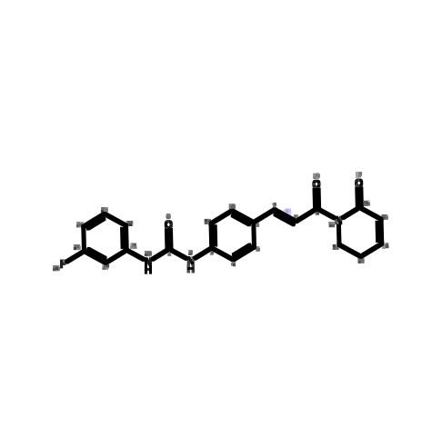 O=C(Nc1ccc(/C=C/C(=O)N2CCC=CC2=O)cc1)Nc1cccc(F)c1